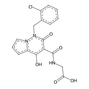 O=C(O)CNC(=O)c1c(O)c2cccn2n(Cc2ccccc2Cl)c1=O